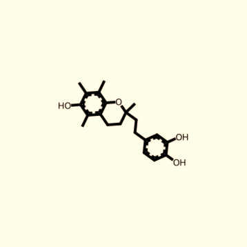 Cc1c(C)c2c(c(C)c1O)CCC(C)(CCc1ccc(O)c(O)c1)O2